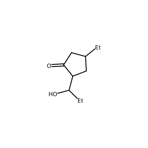 CCC1CC(=O)C(C(O)CC)C1